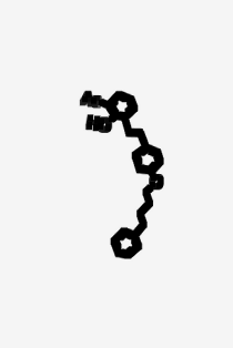 CC(=O)c1cccc(/C=C/c2ccc(OCCCCc3ccccc3)cc2)c1O